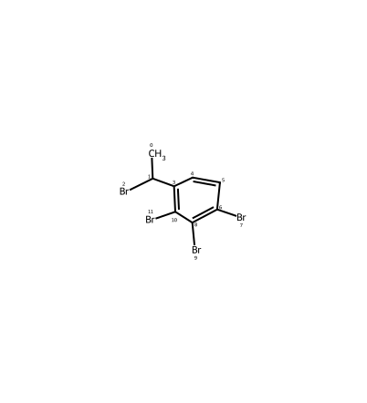 CC(Br)c1ccc(Br)c(Br)c1Br